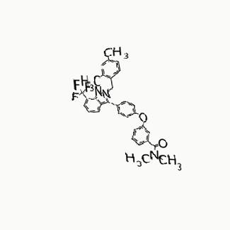 Cc1ccc(Cn2nc3c(C(F)(F)F)cccc3c2-c2ccc(Oc3cccc(C(=O)N(C)C)c3)cc2)c(C)c1